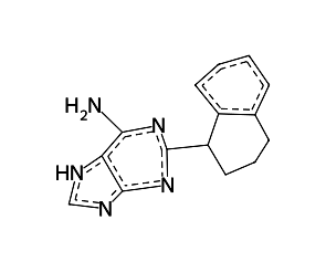 Nc1nc(C2CCCc3ccccc32)nc2nc[nH]c12